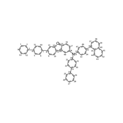 c1ccc(-c2ccc(-c3ccc4c(c3)oc3ccc(N(c5ccc(-c6ccccc6)cc5)c5ccc(-c6cccc7ccccc67)cc5)cc34)cc2)cc1